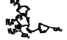 Cc1ccc(SC(Sc2ccc(C)cc2)[SiH](C(C)C)C(C)C)cc1